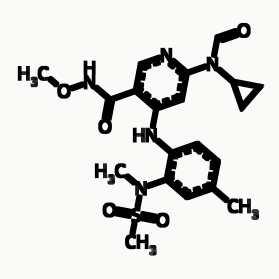 CONC(=O)c1cnc(N(C=O)C2CC2)cc1Nc1ccc(C)cc1N(C)S(C)(=O)=O